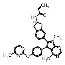 C=CC(=O)N[C@@H]1Cc2ccc(-c3c(-c4ccc(Oc5nccc(C)n5)cc4)c4c(N)ncnc4n3C)cc2C1